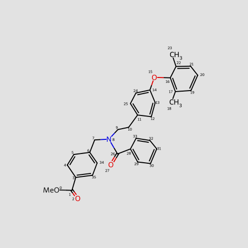 COC(=O)c1ccc(CN(CCc2ccc(Oc3c(C)cccc3C)cc2)C(=O)c2ccccc2)cc1